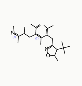 C=C(C)/C(CC(C)/C(C)=N\C)=C(/C)C(CC1=NOC(C)C1C(C)(C)C)=C(C)C